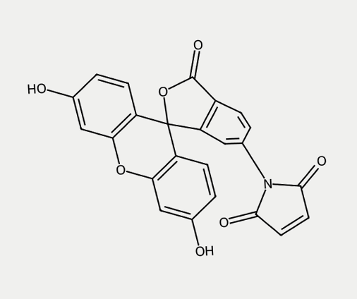 O=C1OC2(c3ccc(O)cc3Oc3cc(O)ccc32)c2cc(N3C(=O)C=CC3=O)ccc21